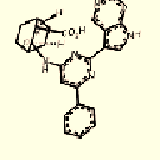 O=C(O)[C@H]1C2CCC(CC2)[C@@H]1Nc1cc(-c2ccccc2)nc(-c2c[nH]c3ncncc23)n1